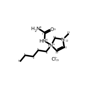 CCCCC[N+]1(NC(N)=O)C=CN(C)C1.[Cl-]